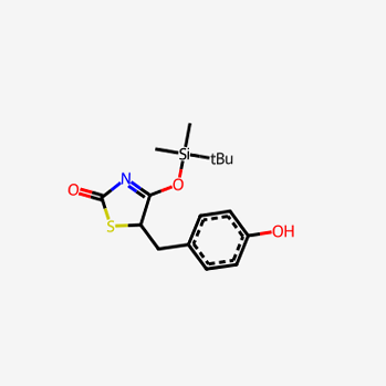 CC(C)(C)[Si](C)(C)OC1=NC(=O)SC1Cc1ccc(O)cc1